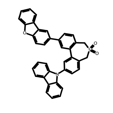 O=S1(=O)Cc2ccc(-c3ccc4oc5ccccc5c4c3)cc2-c2cc(-n3c4ccccc4c4ccccc43)ccc2C1